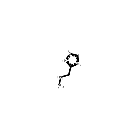 NNCc1ncon1